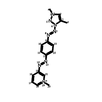 CC1=CN(C)[N]N1N=Nc1ccc(N=Nc2ccc[n+](C)c2)cc1